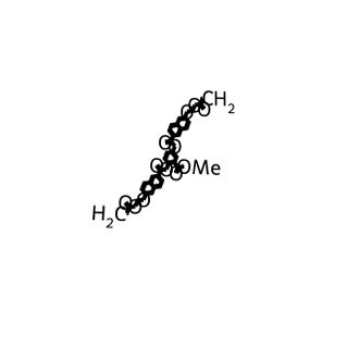 C=CC(=O)OCOc1ccc2cc(C(=O)Oc3ccc(OC(=O)c4ccc5cc(OCOC(=O)C=C)ccc5c4)c(C(=O)OC)c3)ccc2c1